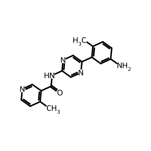 Cc1ccncc1C(=O)Nc1cnc(-c2cc(N)ccc2C)cn1